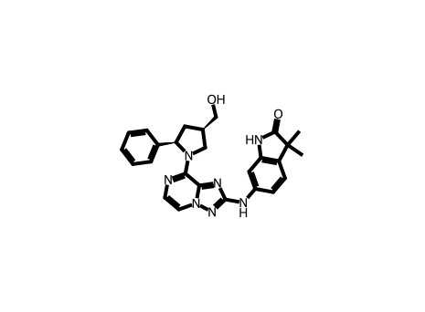 CC1(C)C(=O)Nc2cc(Nc3nc4c(N5C[C@H](CO)C[C@@H]5c5ccccc5)nccn4n3)ccc21